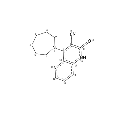 N#Cc1c(N2CCCCCC2)c2ncccc2[nH]c1=O